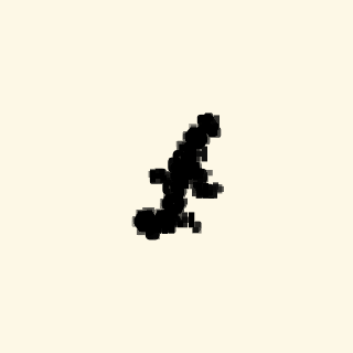 Cc1ncsc1-c1ccc([C@H](C)NC(=O)[C@@H]2C[C@@H]([O-])CN2C(=O)[C@@H](NC(=O)CC2CCN(c3cc(-c4ccccc4[O-])nnc3N)CC2)C(C)(C)C)cc1.[Na+].[Na+]